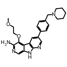 COCCOc1c(N)ncc2[nH]c3ncc(-c4ccc(CN5CCCCC5)cc4)cc3c12